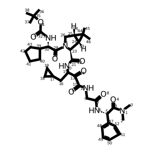 CN(C)C(=O)[C@@H](NC(=O)CNC(=O)C(=O)C(CC1CC1)NC(=O)[C@@H]1[C@@H]2[C@H](CN1C(=O)[C@@H](NC(=O)OC(C)(C)C)C1CCCC1)C2(C)C)c1ccccc1